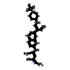 CC(C)C(=C/N)/C=C(\N)Nc1ccc2ncc(/C(C=N)=C/NC3CCN(S(C)(=O)=O)CC3)cc2n1